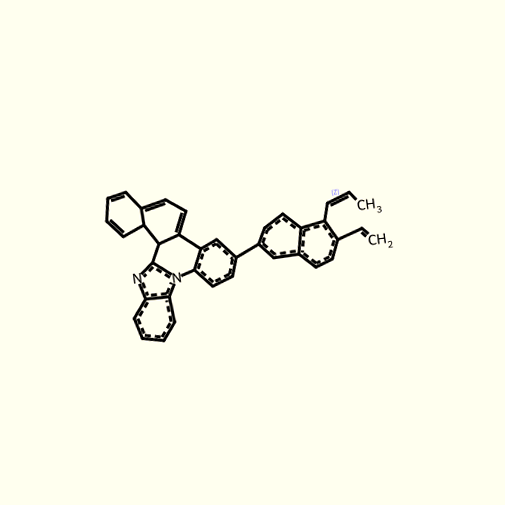 C=Cc1ccc2cc(-c3ccc4c(c3)C3=CC=C5C=CC=CC5C3c3nc5ccccc5n3-4)ccc2c1/C=C\C